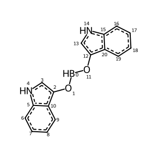 B(Oc1c[nH]c2ccccc12)Oc1c[nH]c2ccccc12